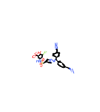 N#Cc1ccc(C(c2ccc(C#N)cc2)N2CC(CS(=O)(=O)Nc3cc(F)cc(C(=O)O)c3)C2)cc1